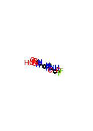 Cc1nc(C(C)(C)OP(=O)(O)O)ncc1-c1ccc2nc3n(c2c1)CC[C@H]3NC(=O)c1cccc(OC(F)F)c1C